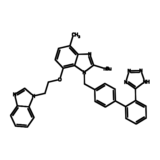 CCCCc1nc2c(C)ccc(OCCn3cnc4ccccc43)c2n1Cc1ccc(-c2ccccc2-c2nnn[nH]2)cc1